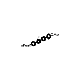 CCCCCC1CCC(c2ccc(C3CCC(C4CCC(OC)CC4)CC3)c(F)c2)CC1